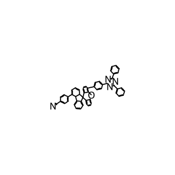 N#Cc1ccc(C2=CC=CC3C2c2ccccc2C32c3ccccc3Oc3c(-c4ccc(-c5nc(-c6ccccc6)nc(-c6ccccc6)n5)cc4)cccc32)cc1